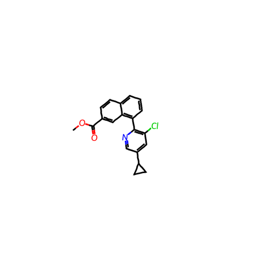 COC(=O)c1ccc2cccc(-c3ncc(C4CC4)cc3Cl)c2c1